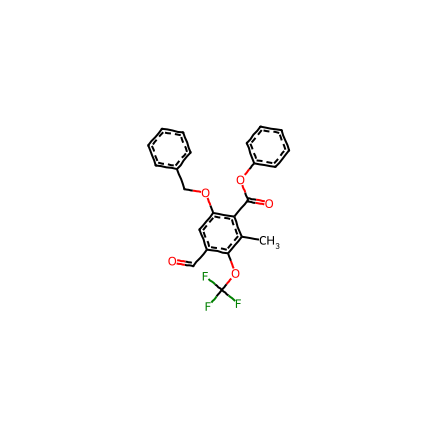 Cc1c(OC(F)(F)F)c(C=O)cc(OCc2ccccc2)c1C(=O)Oc1ccccc1